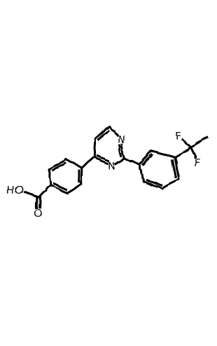 CC(F)(F)c1cccc(-c2nccc(-c3ccc(C(=O)O)cc3)n2)c1